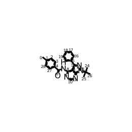 Cc1ccc(C(=O)Nc2ncnc3c2c(-c2ccccc2)nn3C(C)(C)C)cc1